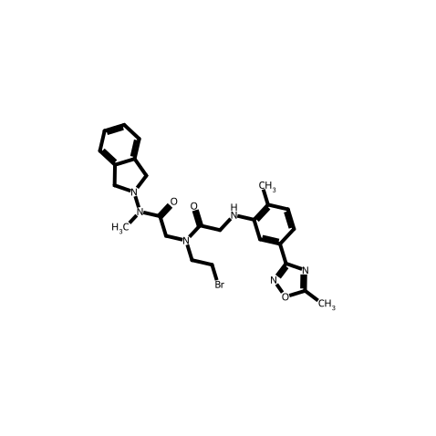 Cc1nc(-c2ccc(C)c(NCC(=O)N(CCBr)CC(=O)N(C)N3Cc4ccccc4C3)c2)no1